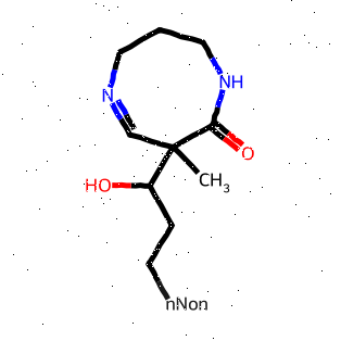 CCCCCCCCCCCC(O)C1(C)C=NCCCNC1=O